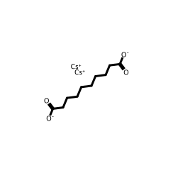 O=C([O-])CCCCCCCCC(=O)[O-].[Cs+].[Cs+]